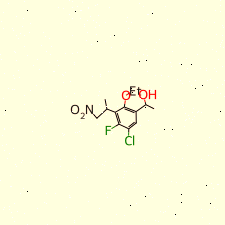 CCOc1c(C(C)O)cc(Cl)c(F)c1C(C)C[N+](=O)[O-]